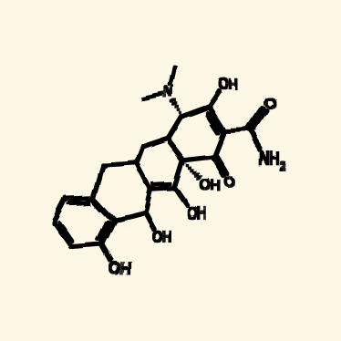 CN(C)[C@@H]1C(O)=C(C(N)=O)C(=O)[C@@]2(O)C(O)=C3C(Cc4cccc(O)c4C3O)CC12